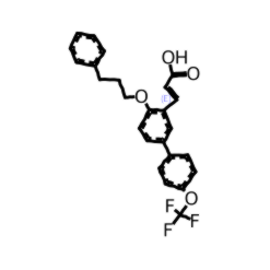 O=C(O)/C=C/c1cc(-c2ccc(OC(F)(F)F)cc2)ccc1OCCCc1ccccc1